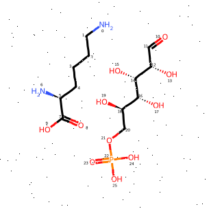 NCCCC[C@H](N)C(=O)O.O=C[C@H](O)[C@@H](O)[C@H](O)[C@H](O)COP(=O)(O)O